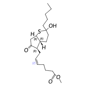 CCCCCC1(O)CC[C@H]2[C@@H](CC(=O)[C@@H]2C/C=C\CCCC(=O)OC)S1